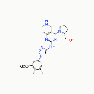 COc1cc(-n2cnc(Nc3nc4c(c(N5CCC[C@H]5CO)n3)CNCC4)c2)cc(C)c1C